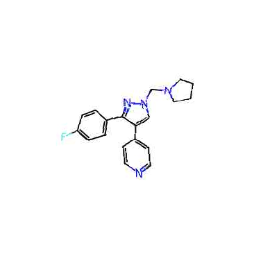 Fc1ccc(-c2nn(CN3CCCC3)cc2-c2ccncc2)cc1